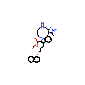 CCOC(=O)c1c(CCCOc2cccc3ccccc23)c2cccc3c2n1CCCCNCc1nn(C)c(C)c1-3